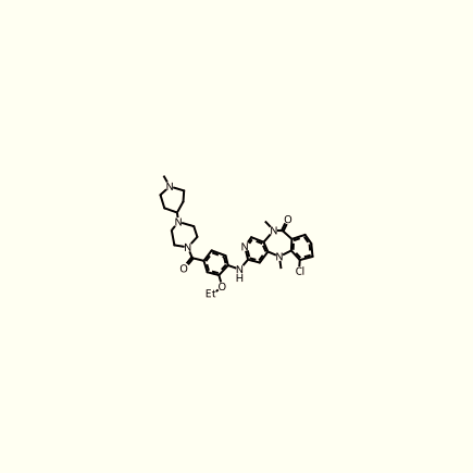 CCOc1cc(C(=O)N2CCN(C3CCN(C)CC3)CC2)ccc1Nc1cc2c(cn1)N(C)C(=O)c1cccc(Cl)c1N2C